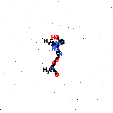 CCc1cnn2c(NCc3ccc(CCOCCOCCN(C)CC=CC=O)nc3)cc(N3CCCC[C@H]3CCO)nc12